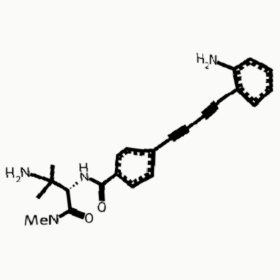 CNC(=O)[C@@H](NC(=O)c1ccc(C#CC#Cc2ccccc2N)cc1)C(C)(C)N